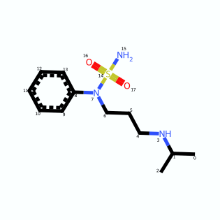 CC(C)NCCCN(c1ccccc1)S(N)(=O)=O